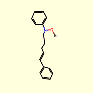 CCON(CCCC=Cc1ccccc1)c1ccccc1